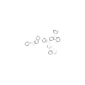 C1=Cc2cccc(C3=CCC(N(c4ccc(-c5cccc6c5ccc5nc(-c7ccccc7)oc56)cc4)c4ccc5c(c4)c4ccccc4n5-c4ccccc4)C=C3)c2CC1